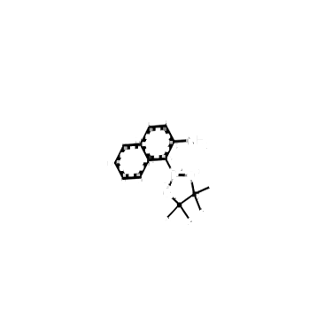 CC1(C)OB(c2c(N)ccc3ccccc23)OC1(C)C